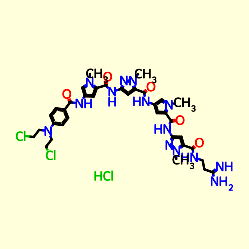 Cl.Cn1cc(NC(=O)c2cc(NC(=O)c3cc(NC(=O)c4ccc(N(CCCl)CCCl)cc4)cn3C)nn2C)cc1C(=O)Nc1cc(C(=O)NCCC(=N)N)n(C)n1